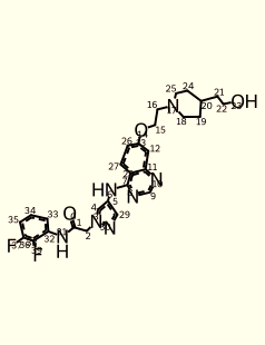 O=C(Cn1cc(Nc2ncnc3cc(OCCN4CCC(CCO)CC4)ccc23)cn1)Nc1cccc(F)c1F